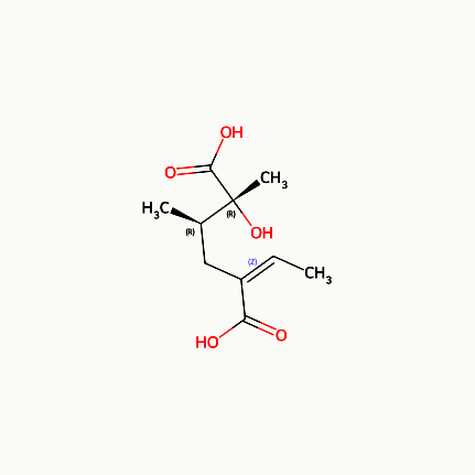 C/C=C(/C[C@@H](C)[C@@](C)(O)C(=O)O)C(=O)O